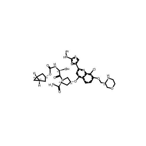 CC(C)Nc1nc(-c2cc(O[C@@H]3C[C@@H](C(N)=O)N(C(=O)[C@@H](NC(=O)O[C@@H]4C[C@@H]5C[C@@H]5C4)C(C)(C)C)C3)c3ccc(OC[C@@H]4COCCN4)c(Cl)c3n2)cs1